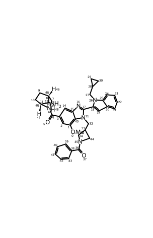 COc1cc(C(=O)N2C[C@H]3CC[C@@H]2[C@@H]3N)cc2nc(-c3cc4ccccc4n3CC3CC3)n(CC3CN(C(=O)c4ccccc4)C3)c12